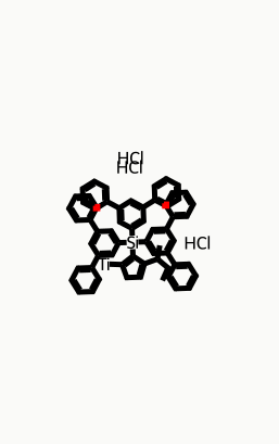 CCC(C)C1=CC[C]([Ti])=C1[Si](c1cc(-c2ccccc2)cc(-c2ccccc2)c1)(c1cc(-c2ccccc2)cc(-c2ccccc2)c1)c1cc(-c2ccccc2)cc(-c2ccccc2)c1.Cl.Cl.Cl